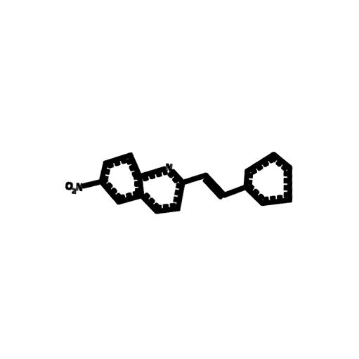 O=[N+]([O-])c1ccc2nc(C=Cc3ccccc3)ccc2c1